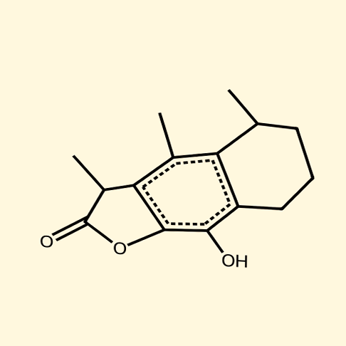 Cc1c2c(c(O)c3c1C(C)C(=O)O3)CCCC2C